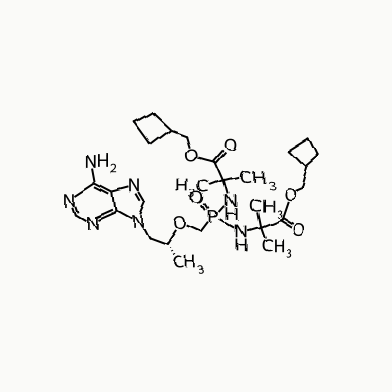 C[C@H](Cn1cnc2c(N)ncnc21)OCP(=O)(NC(C)(C)C(=O)OCC1CCC1)NC(C)(C)C(=O)OCC1CCC1